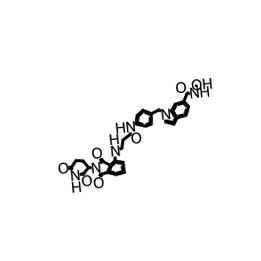 O=C1CCC(N2C(=O)c3cccc(NCCC(=O)Nc4ccc(Cn5ccc6ccc(C(=O)NO)cc65)cc4)c3C2=O)C(=O)N1